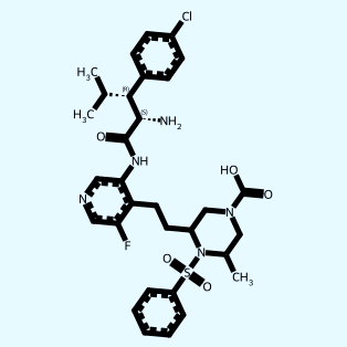 CC(C)[C@H](c1ccc(Cl)cc1)[C@H](N)C(=O)Nc1cncc(F)c1CCC1CN(C(=O)O)CC(C)N1S(=O)(=O)c1ccccc1